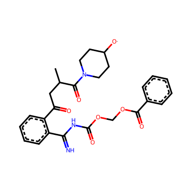 CC(CC(=O)c1ccccc1C(=N)NC(=O)OCOC(=O)c1ccccc1)C(=O)N1CCC([O])CC1